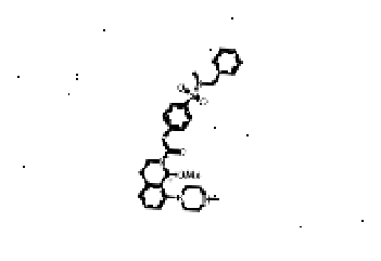 CO[C@H]1c2c(cccc2N2CCN(C)CC2)CCN1C(=O)Cc1ccc(S(=O)(=O)N(C)Cc2ccccc2)cc1